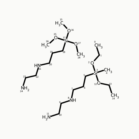 CCO[Si](C)(CCCNCCN)OCC.CO[Si](CCCNCCN)(OC)OC